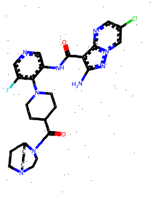 Nc1nn2cc(Cl)cnc2c1C(=O)Nc1cncc(F)c1N1CCC(C(=O)N2CCN3CCC2CC3)CC1